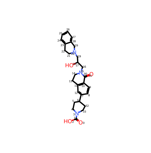 O=C(O)N1CCC(c2ccc3c(c2)CCN(CC(O)CN2CCc4ccccc4C2)C3=O)CC1